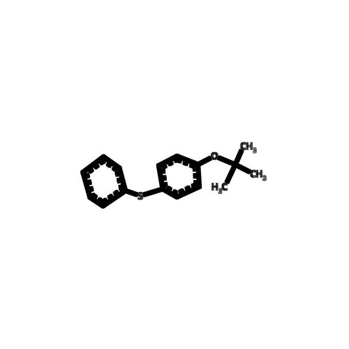 CC(C)(C)Oc1ccc(Sc2ccccc2)cc1